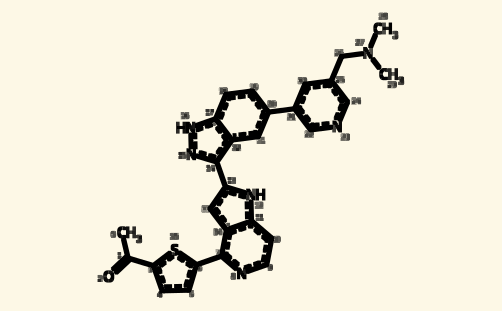 CC(=O)c1ccc(-c2nccc3[nH]c(-c4n[nH]c5ccc(-c6cncc(CN(C)C)c6)cc45)cc23)s1